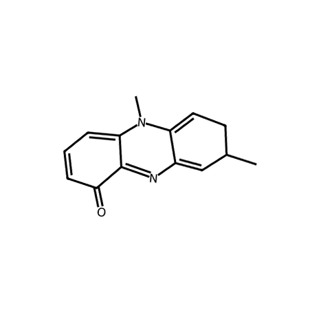 CC1C=c2nc3c(=O)cccc-3n(C)c2=CC1